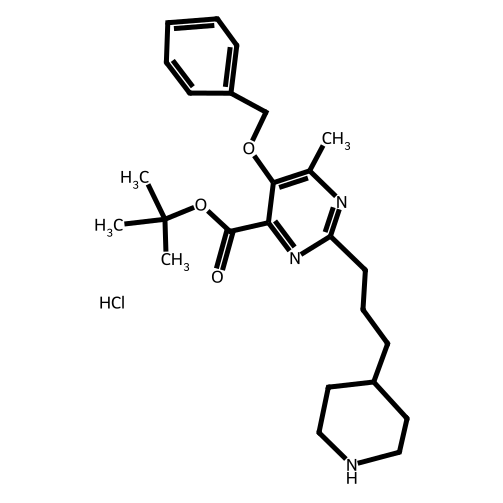 Cc1nc(CCCC2CCNCC2)nc(C(=O)OC(C)(C)C)c1OCc1ccccc1.Cl